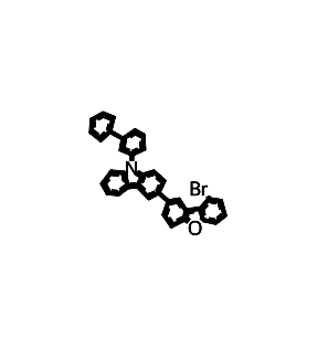 Brc1cccc2oc3ccc(-c4ccc5c(c4)c4ccccc4n5-c4cccc(-c5ccccc5)c4)cc3c12